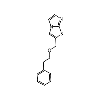 c1ccc(CCOCc2cn3ccnc3s2)cc1